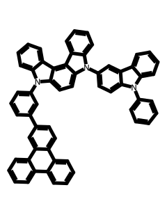 c1ccc(-n2c3ccccc3c3cc(-n4c5ccccc5c5c6c7ccccc7n(-c7cccc(-c8ccc9c%10ccccc%10c%10ccccc%10c9c8)c7)c6ccc54)ccc32)cc1